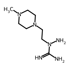 CN1CCN(CCN(N)C(=N)N)CC1